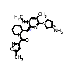 C=NN1C=C(C)C(N2CC[C@H](N)C2)=N/C1=C/C1CCCCN1C(=O)c1cc(C)on1